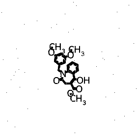 COC(=O)C1=C(O)c2ccccc2N(Cc2cc(OC)cc(OC)c2)C(=O)C1